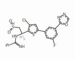 CC(C)C(=N)N[C@@](C)(C[SH](=O)=O)c1sc(-c2cc(F)cc(-c3nnco3)c2)cc1Cl